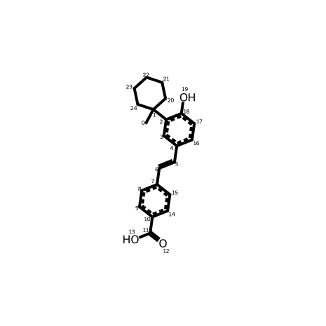 CC1(c2cc(/C=C/c3ccc(C(=O)O)cc3)ccc2O)CCCCC1